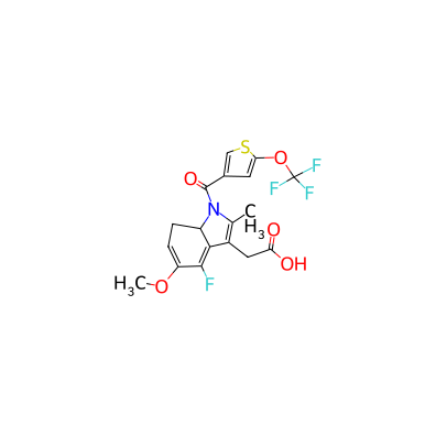 COC1=CCC2C(=C1F)C(CC(=O)O)=C(C)N2C(=O)c1csc(OC(F)(F)F)c1